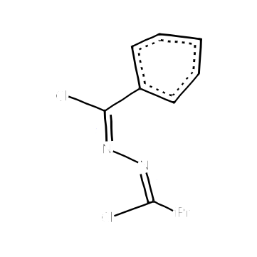 CC(C)/C(Cl)=N/N=C(/Cl)c1ccccc1